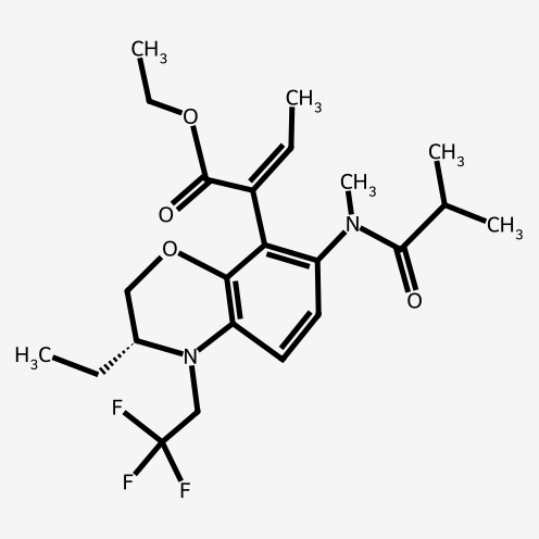 CC=C(C(=O)OCC)c1c(N(C)C(=O)C(C)C)ccc2c1OC[C@@H](CC)N2CC(F)(F)F